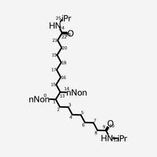 CCCCCCCCCC(CCCCCCCC(=O)NC(C)C)C(CCCCCCCCC)CCCCCCCC(=O)NC(C)C